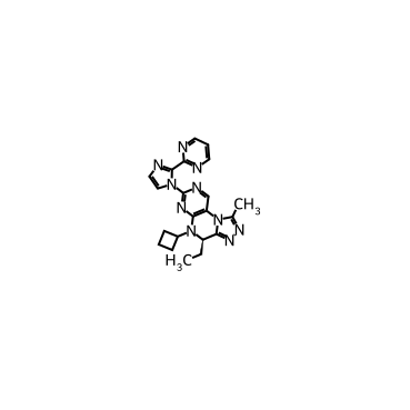 CC[C@@H]1c2nnc(C)n2-c2cnc(-n3ccnc3-c3ncccn3)nc2N1C1CCC1